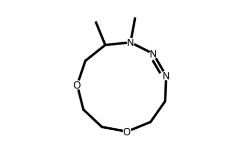 CC1COCCOCC/N=N\N1C